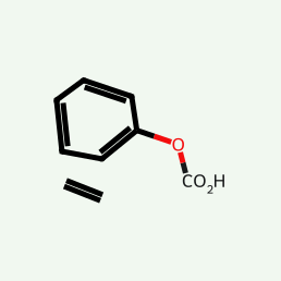 C=C.O=C(O)Oc1ccccc1